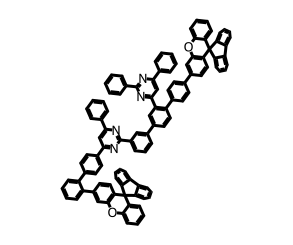 c1ccc(-c2cc(-c3ccc(-c4ccccc4-c4ccc5c(c4)Oc4ccccc4C54c5ccccc5-c5ccccc54)cc3)nc(-c3cccc(-c4ccc(-c5ccc(-c6ccc7c(c6)Oc6ccccc6C76c7ccccc7-c7ccccc76)cc5)c(-c5cc(-c6ccccc6)nc(-c6ccccc6)n5)c4)c3)n2)cc1